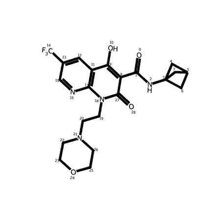 O=C(NC12CC(C1)C2)c1c(O)c2cc(C(F)(F)F)cnc2n(CCN2CCOCC2)c1=O